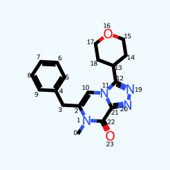 Cn1c(Cc2ccccc2)cn2c(C3CCOCC3)nnc2c1=O